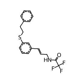 O=C(NCC=Cc1cccc(SCCc2ccccc2)c1)C(F)(F)F